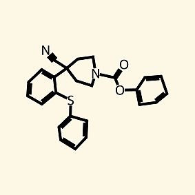 N#CC1(c2ccccc2Sc2ccccc2)CCN(C(=O)Oc2ccccc2)CC1